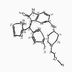 COCCN1CCC(Nc2ccc3c(c2)/C(=C(\c2ccc(F)cc2)c2ncc[nH]2)C(=O)N3)CC1